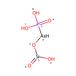 O=[Si](O)O[AsH]P(=O)(O)O